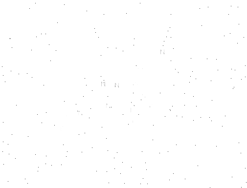 COc1cccc(-c2nnc(NS(=O)(=O)[C@@H](C)[C@H](OC)c3ncc(C)cn3)n2-c2cc(C)ccc2OC)n1